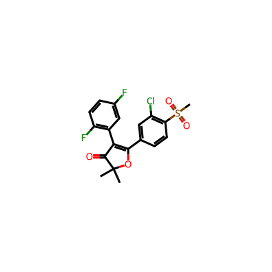 CC1(C)OC(c2ccc(S(C)(=O)=O)c(Cl)c2)=C(c2cc(F)ccc2F)C1=O